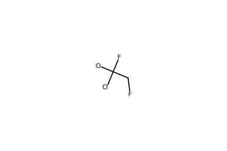 [O]C(F)(Cl)CF